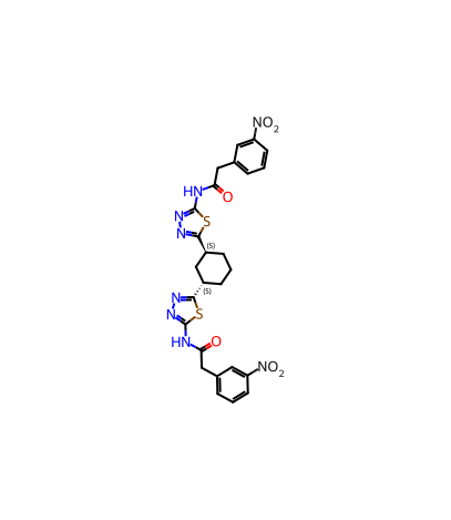 O=C(Cc1cccc([N+](=O)[O-])c1)Nc1nnc([C@H]2CCC[C@H](c3nnc(NC(=O)Cc4cccc([N+](=O)[O-])c4)s3)C2)s1